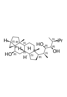 CC(C)[C@H](C)[C@@H](O)[C@H](O)[C@@H](C)[C@H]1CC[C@H]2[C@@H]3C[C@@H](O)[C@]45C[C@@H]4CC[C@]5(C)[C@H]3CC[C@]12C